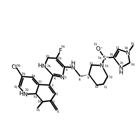 C=C1C=C(C2=NC(NC[C@H]3CCCN([S+]([O-])C4=CN(C)CN4)C3)=C(F)CN2)C2=CC(Cl)=CNC2C1C